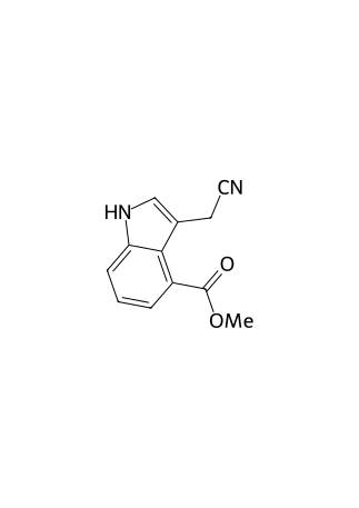 COC(=O)c1cccc2[nH]cc(CC#N)c12